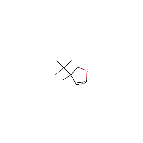 CC(C)(C)C1(C)C=COC1